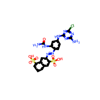 NC(=O)Nc1cc(Nc2nc(N)nc(Cl)n2)ccc1/N=N/c1cc2c(S(=O)(=O)O)cccc2cc1S(=O)(=O)O